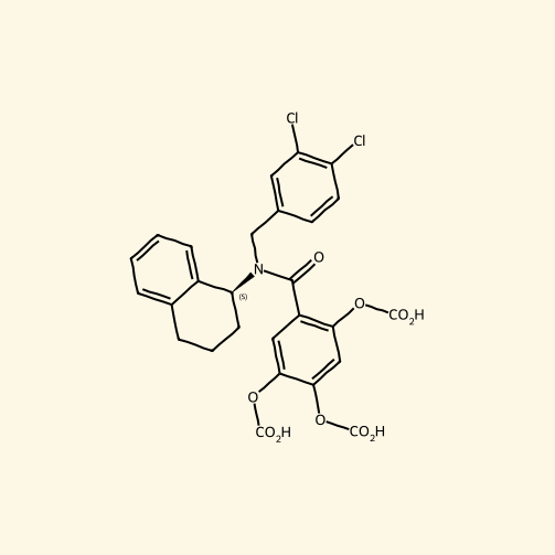 O=C(O)Oc1cc(OC(=O)O)c(C(=O)N(Cc2ccc(Cl)c(Cl)c2)[C@H]2CCCc3ccccc32)cc1OC(=O)O